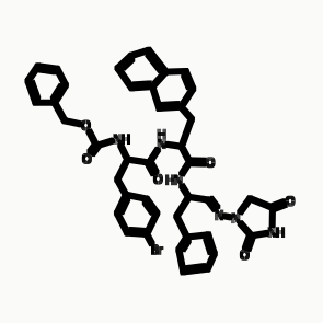 O=C1CN(N=CC(Cc2ccccc2)NC(=O)C(Cc2ccc3ccccc3c2)NC(=O)C(Cc2ccc(Br)cc2)NC(=O)OCc2ccccc2)C(=O)N1